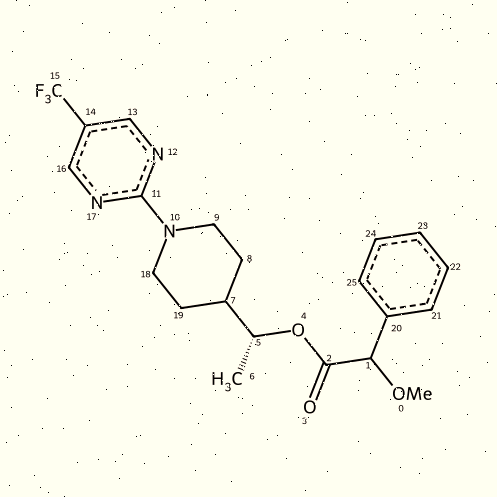 COC(C(=O)O[C@H](C)C1CCN(c2ncc(C(F)(F)F)cn2)CC1)c1ccccc1